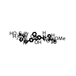 COC(=O)N[C@H](C(=O)N1CCC[C@H]1c1ncc(-c2ccc3c(c2)c(O)c2n3C3(CCCCC3)Oc3cc(-c4cnc([C@@H]5CCCN5C(=O)[C@H](C(C)C)N(C)C(=O)O)[nH]4)ccc3-2)[nH]1)C(C)C